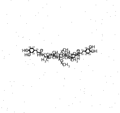 CCOCC(COCC)(COC(C)(C)COC(C)(C)CCNC(=O)CCc1ccc(O)c(O)c1)COC(C)(C)COC(C)(CC)CCNC(=O)CCc1ccc(O)c(O)c1